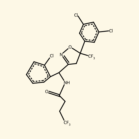 O=C(CCC(F)(F)F)NC(C1=NOC(c2cc(Cl)cc(Cl)c2)(C(F)(F)F)C1)c1ccccc1Cl